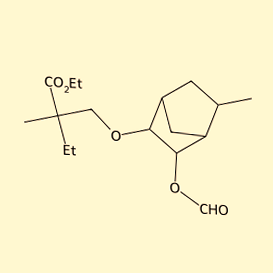 CCOC(=O)C(C)(CC)COC1C2CC(C)C(C2)C1OC=O